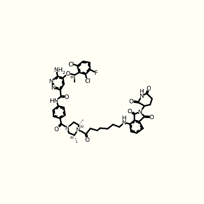 C[C@@H]1CN(C(=O)c2ccc(NC(=O)c3cc(O[C@H](C)c4c(Cl)ccc(F)c4Cl)c(N)nn3)cc2)C[C@H](C)N1C(=O)CCCCCCNc1cccc2c1C(=O)N(C1CCC(=O)NC1=O)C2=O